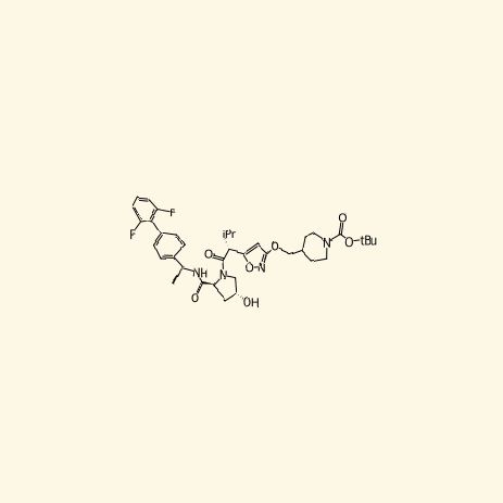 CC(C)[C@@H](C(=O)N1C[C@H](O)C[C@H]1C(=O)N[C@@H](C)c1ccc(-c2c(F)cccc2F)cc1)c1cc(OCC2CCN(C(=O)OC(C)(C)C)CC2)no1